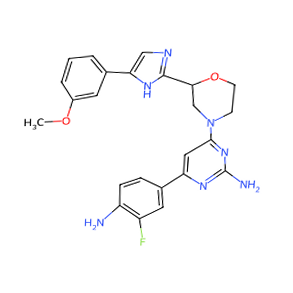 COc1cccc(-c2cnc(C3CN(c4cc(-c5ccc(N)c(F)c5)nc(N)n4)CCO3)[nH]2)c1